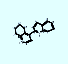 c1ccc2nc(-c3ccnc4c3CCCC4)ccc2c1